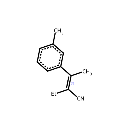 CC/C(C#N)=C(/C)c1cccc(C)c1